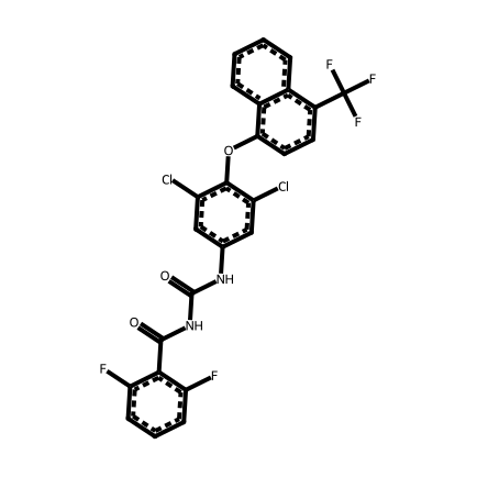 O=C(NC(=O)c1c(F)cccc1F)Nc1cc(Cl)c(Oc2ccc(C(F)(F)F)c3ccccc23)c(Cl)c1